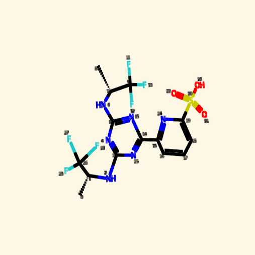 C[C@@H](Nc1nc(N[C@H](C)C(F)(F)F)nc(-c2cccc(S(=O)(=O)O)n2)n1)C(F)(F)F